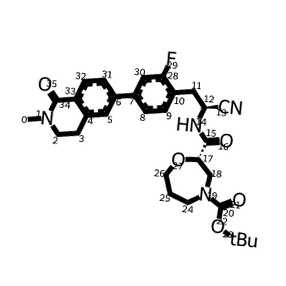 CN1CCc2cc(-c3ccc(C[C@@H](C#N)NC(=O)[C@@H]4CN(C(=O)OC(C)(C)C)CCCO4)c(F)c3)ccc2C1=O